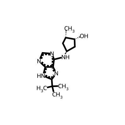 C[C@H]1C[C@@H](Nc2ncnc3[nH]c(C(C)(C)C)nc23)C[C@H]1O